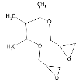 CC(OCC1CO1)C(C)C(C)OCC1CO1